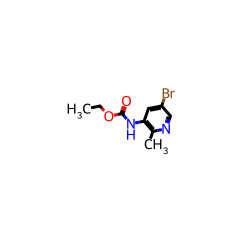 CCOC(=O)Nc1cc(Br)cnc1C